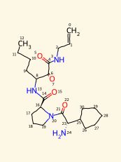 C=CCNC(=O)C(=O)C(CCCC)NC(=O)[C@@H]1CCCN1C(=O)[C@@H](N)C1CCCCC1